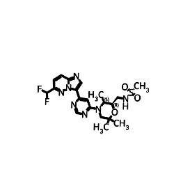 C[C@H]1[C@@H](CNS(C)(=O)=O)OC(C)(C)CN1c1cc(-c2cnc3ccc(C(F)F)nn23)ncn1